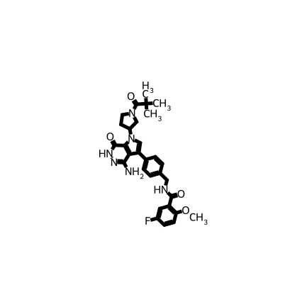 COc1ccc(F)cc1C(=O)NCc1ccc(-c2cn(C3CCN(C(=O)C(C)(C)C)C3)c3c(=O)[nH]nc(N)c23)cc1